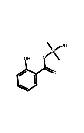 C[Si](C)(O)OC(=O)c1ccccc1O